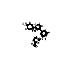 Cc1cc(Nc2nccc(C(F)(F)F)n2)cc(-c2ccnc(C3(O)CCC(=O)CC3)c2)c1